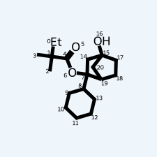 CCC(C)(C)C(=O)OC1(C2CCCCC2)CC2(O)CCC1C2